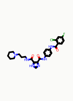 O=C(Nc1ccc(NC(=O)c2nc[nH]c2C(=O)NCCCN2CCCCC2)cc1)c1ccc(F)cc1Cl